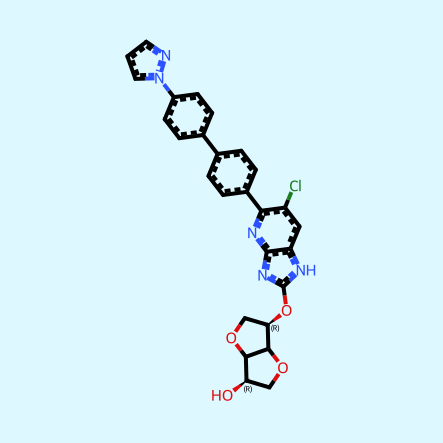 O[C@@H]1COC2C1OC[C@H]2Oc1nc2nc(-c3ccc(-c4ccc(-n5cccn5)cc4)cc3)c(Cl)cc2[nH]1